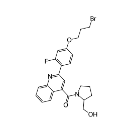 O=C(c1cc(-c2ccc(OCCCBr)cc2F)nc2ccccc12)N1CCCC1CO